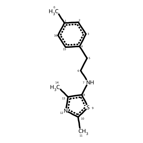 Cc1ccc(CCNc2sc(C)nc2C)cc1